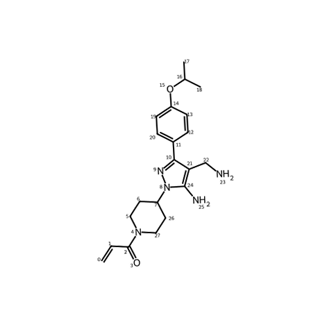 C=CC(=O)N1CCC(n2nc(-c3ccc(OC(C)C)cc3)c(CN)c2N)CC1